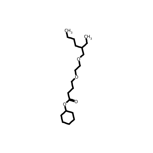 CCCCC(CC)COCCOCCCC(=O)OC1CCCCC1